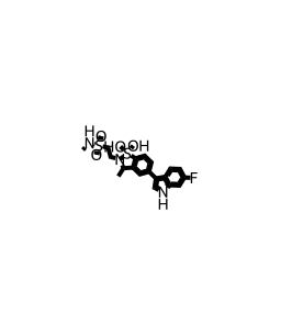 CNS(=O)(=O)CCN1C(C)c2cc(-c3c[nH]c4cc(F)ccc34)ccc2S1(O)O